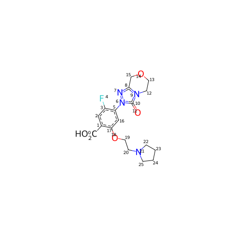 O=C(O)c1cc(F)c(-n2nc3n(c2=O)CCOC3)cc1OCCN1CCCC1